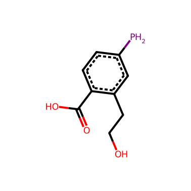 O=C(O)c1ccc(P)cc1CCO